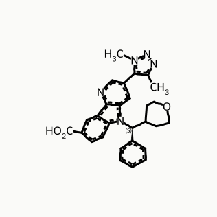 Cc1nnn(C)c1-c1cnc2c3cc(C(=O)O)ccc3n([C@H](c3ccccc3)C3CCOCC3)c2c1